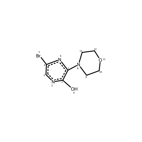 Oc1ncc(Br)nc1N1CCOCC1